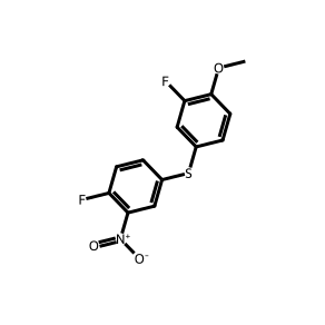 COc1ccc(Sc2ccc(F)c([N+](=O)[O-])c2)cc1F